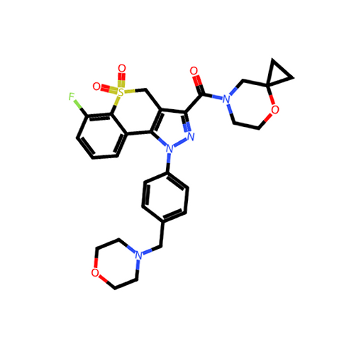 O=C(c1nn(-c2ccc(CN3CCOCC3)cc2)c2c1CS(=O)(=O)c1c(F)cccc1-2)N1CCOC2(CC2)C1